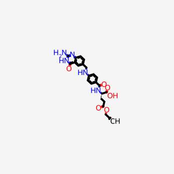 C#CCOC(=O)CC[C@H](NC(=O)c1ccc(NCc2ccc3nc(N)[nH]c(=O)c3c2)cc1)C(=O)O